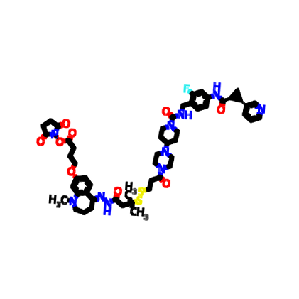 CN1CCC/C(=N\NC(=O)CC(C)(C)SSCCC(=O)N2CCN(C3CCN(C(=O)NCc4ccc(NC(=O)[C@H]5C[C@@H]5c5cccnc5)cc4F)CC3)CC2)c2ccc(OCCCC(=O)ON3C(=O)CCC3=O)cc21